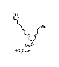 C=CCCCC=CCOCC(C=CC=CCCCC)OC(=O)/C=C\C(=O)O